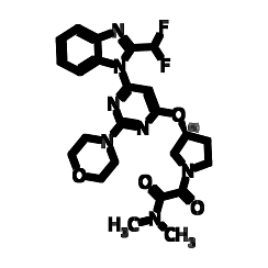 CN(C)C(=O)C(=O)N1CC[C@H](Oc2cc(-n3c(C(F)F)nc4ccccc43)nc(N3CCOCC3)n2)C1